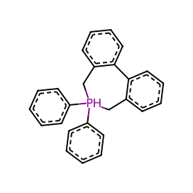 c1ccc([PH]2(c3ccccc3)Cc3ccccc3-c3ccccc3C2)cc1